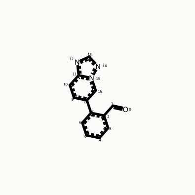 O=Cc1ccccc1-c1ccc2ncnn2c1